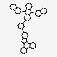 C/C=C(\C=C/c1cc(-c2ccc3ccccc3c2)c2ccccc2c1-c1ccc2ccccc2c1)c1cccc(-c2ccc3c(c2)nc2c4ccccc4c4ccccc4n32)c1